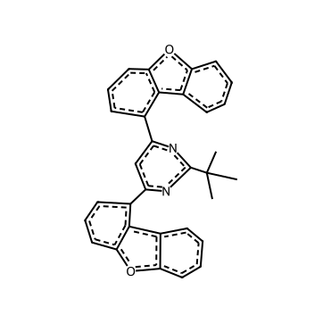 CC(C)(C)c1nc(-c2cccc3oc4ccccc4c23)cc(-c2cccc3oc4ccccc4c23)n1